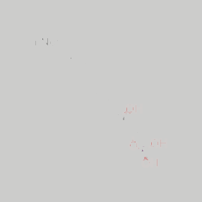 CCCCCCCCCCCCCCCCC[C@@H](O)CCOP(O)O